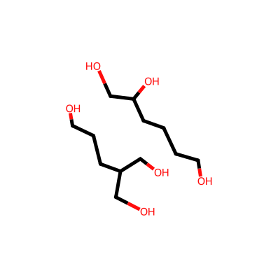 OCCCC(CO)CO.OCCCCC(O)CO